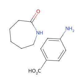 Nc1ccc(C(=O)O)cc1.O=C1CCCCCN1